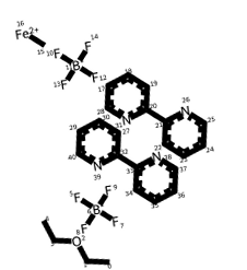 CCOCC.F[B-](F)(F)F.F[B-](F)(F)F.[CH3][Fe+2].c1ccc(-c2ccccn2)nc1.c1ccc(-c2ccccn2)nc1